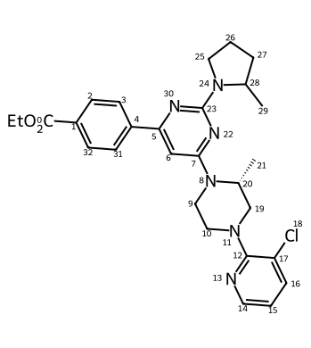 CCOC(=O)c1ccc(-c2cc(N3CCN(c4ncccc4Cl)C[C@H]3C)nc(N3CCCC3C)n2)cc1